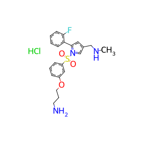 CNCc1cc(-c2ccccc2F)n(S(=O)(=O)c2cccc(OCCCN)c2)c1.Cl